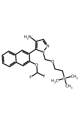 C[Si](C)(C)CCOCn1ncc(N)c1-c1cc2ccccc2cc1OC(F)F